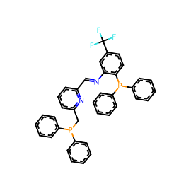 FC(F)(F)c1ccc(P(c2ccccc2)c2ccccc2)c(N=Cc2cccc(CP(c3ccccc3)c3ccccc3)n2)c1